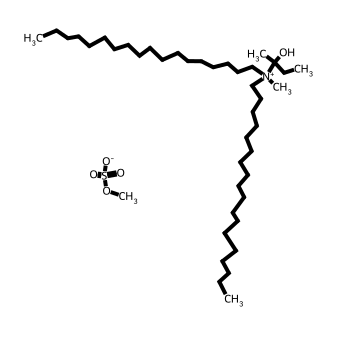 CCCCCCCCCCCCCCCCCC[N+](C)(CCCCCCCCCCCCCCCCCC)C(C)(O)CC.COS(=O)(=O)[O-]